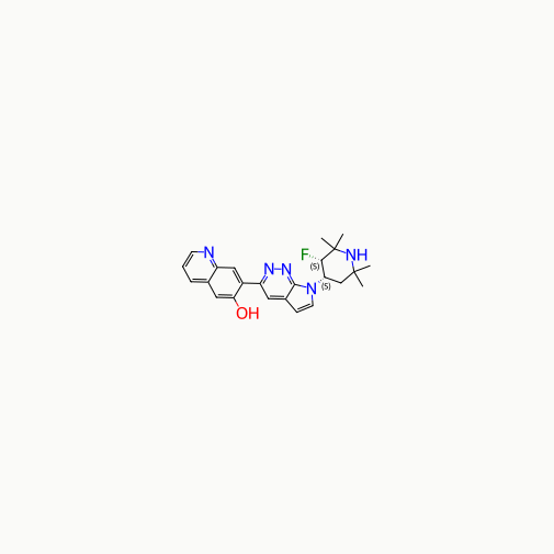 CC1(C)C[C@H](n2ccc3cc(-c4cc5ncccc5cc4O)nnc32)[C@H](F)C(C)(C)N1